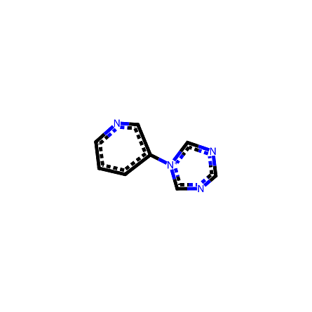 c1cncc(-[n+]2cncnc2)c1